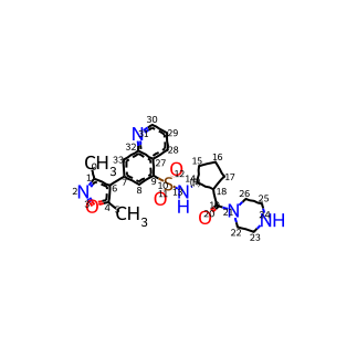 Cc1noc(C)c1-c1cc(S(=O)(=O)N[C@@H]2CCCC2C(=O)N2CCNCC2)c2cccnc2c1